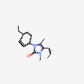 C/C=C\c1c(C)n(-c2ccc(CC)cc2)c(=O)n1C